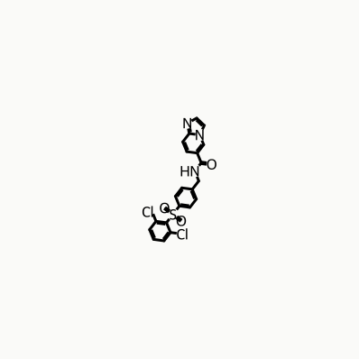 O=C(NCc1ccc(S(=O)(=O)c2c(Cl)cccc2Cl)cc1)c1ccc2nccn2c1